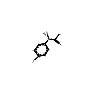 CC(=S)N(N)c1ccc(F)cc1